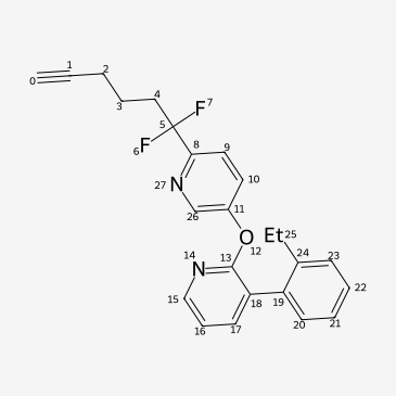 C#CCCCC(F)(F)c1ccc(Oc2ncccc2-c2ccccc2CC)cn1